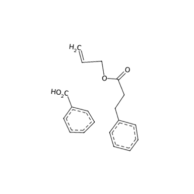 C=CCOC(=O)CCc1ccccc1.O=C(O)c1ccccc1